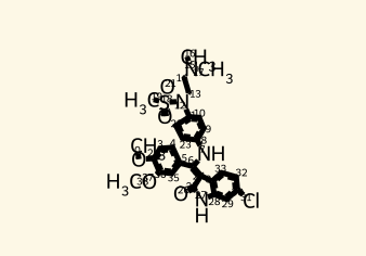 COc1ccc(C(Nc2ccc(N(CCN(C)C)S(C)(=O)=O)cc2)=C2C(=O)Nc3cc(Cl)ccc32)cc1OC